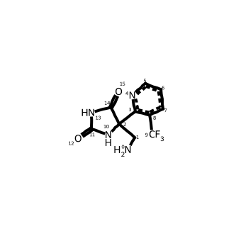 NCC1(c2ncccc2C(F)(F)F)NC(=O)NC1=O